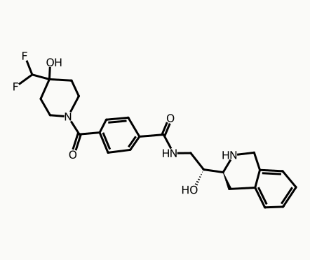 O=C(NC[C@@H](O)[C@@H]1Cc2ccccc2CN1)c1ccc(C(=O)N2CCC(O)(C(F)F)CC2)cc1